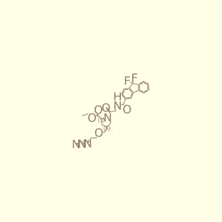 CCOC(=O)[C@@H]1C[C@](C)(COCCN=[N+]=[N-])CN1C(=O)CNC(=O)c1ccc2c(c1)-c1ccccc1C2(F)F